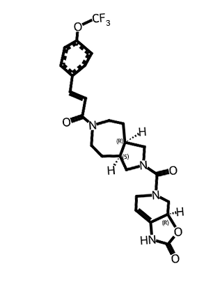 O=C1NC2=CCN(C(=O)N3C[C@H]4CCN(C(=O)C=Cc5ccc(OC(F)(F)F)cc5)CC[C@H]4C3)C[C@H]2O1